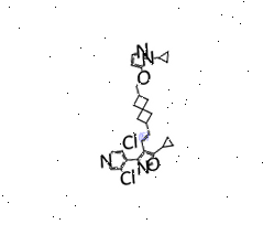 Clc1cncc(Cl)c1-c1noc(C2CC2)c1/C=C/C1CC2(C1)CC(COc1ccnn1C1CC1)C2